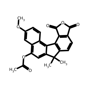 COc1ccc2c3c(cc(OC(C)=O)c2c1)C(C)(C)c1ccc2c(c1-3)C(=O)OC2=O